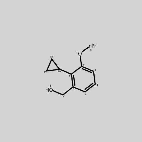 CCCOc1cccc([CH]O)c1C1CC1